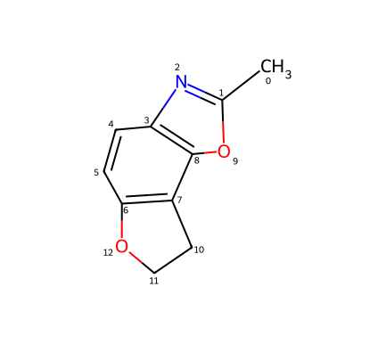 Cc1nc2ccc3c(c2o1)CCO3